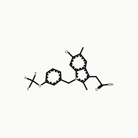 Cc1cc2c(CC(=O)O)c(C)n(Cc3cccc(OC(F)(F)F)c3)c2cc1Cl